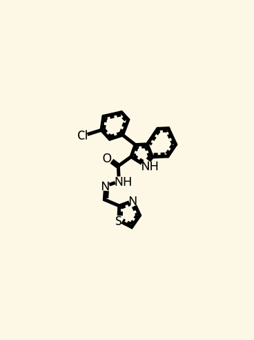 O=C(N/N=C\c1nccs1)c1[nH]c2ccccc2c1-c1cccc(Cl)c1